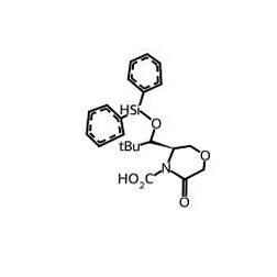 CC(C)(C)C(O[SiH](c1ccccc1)c1ccccc1)[C@H]1COCC(=O)N1C(=O)O